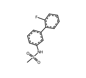 CS(=O)(=O)Nc1cccc(-c2ccccc2F)c1